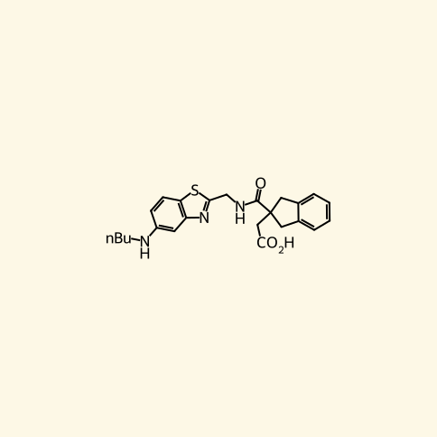 CCCCNc1ccc2sc(CNC(=O)C3(CC(=O)O)Cc4ccccc4C3)nc2c1